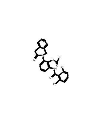 CCC(=O)Oc1c(NC(=O)c2c(Cl)cccc2Cl)cccc1N1Cc2ccccc2CC1=O